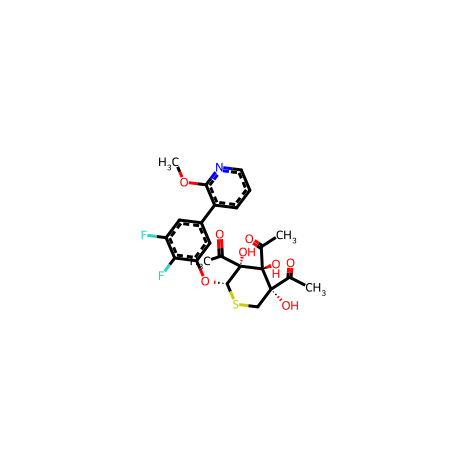 COc1ncccc1-c1cc(F)c(F)c(O[C@H]2SC[C@](O)(C(C)=O)[C@@](O)(C(C)=O)[C@]2(O)C(C)=O)c1